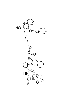 C=CCC(NC(=O)[C@@H]1CCCN1C(=O)[C@H](CC1CCCCC1)NC(=O)OC1C[C@H]1CCCCCc1c(O)nc2ccccc2c1OCCN1CCOCC1)C(=O)NS(=O)(=O)C1(C)CC1